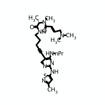 CCCNc1nc(Nc2cc(C)ns2)ncc1C#CCCCNC(=O)[C@H](C)N(C)C(=O)C=CCN(C)C